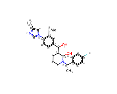 COc1cc(C(O)C2CCCN([C@@H](C)c3ccc(F)cc3)C2O)ccc1-n1cnc(C)c1